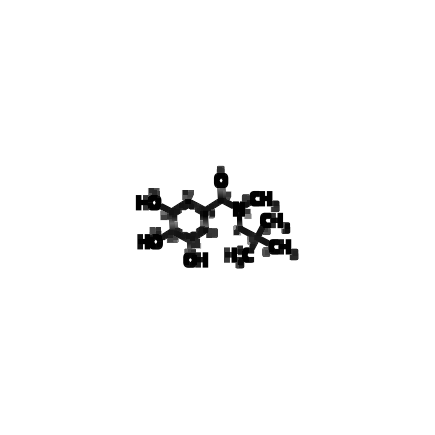 CN(CC(C)(C)C)C(=O)c1cc(O)c(O)c(O)c1